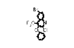 FC(F)(F)c1c(Oc2ccccc2)c(Cl)nc2ccc(Br)cc12